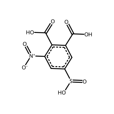 O=C(O)c1cc(S(=O)O)cc([N+](=O)[O-])c1C(=O)O